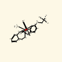 CN1C(=O)C2(NC1=S)c1cc(OCC(F)(F)F)ccc1CC21CCC2C=CC=CC2CC1